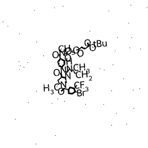 C=C[C@H](C)Nc1nc2c(c(=O)n1-c1ccc(C(=O)N(C)C(=O)OCOC(=O)/C=C/C(=O)OC(C)(C)C)cc1)C[C@@H](C)N(C(=O)c1ccc(Br)c(C(F)(F)F)c1)C2